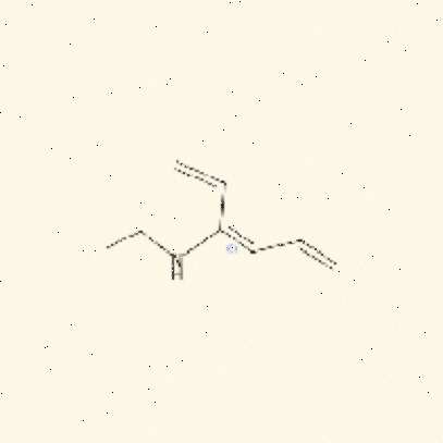 C=C/C=C(\C=C)NCC